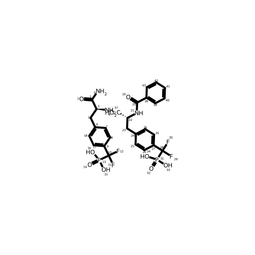 NC(=O)[C@@H](N)Cc1ccc(C(F)(F)P(=O)(O)O)cc1.O=C(N[C@H](Cc1ccc(C(F)(F)P(=O)(O)O)cc1)C(=O)O)c1ccccc1